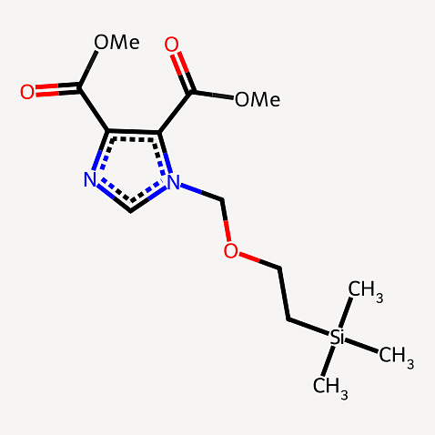 COC(=O)c1ncn(COCC[Si](C)(C)C)c1C(=O)OC